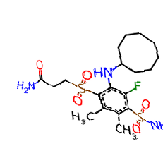 Cc1c(C)c(S(=O)(=O)CCC(N)=O)c(NC2CCCCCCC2)c(F)c1S(N)(=O)=O